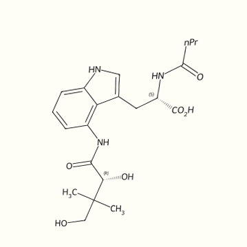 CCCC(=O)N[C@@H](Cc1c[nH]c2cccc(NC(=O)[C@H](O)C(C)(C)CO)c12)C(=O)O